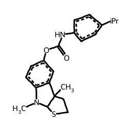 CC(C)c1ccc(NC(=O)Oc2ccc3c(c2)C2(C)CCSC2N3C)cc1